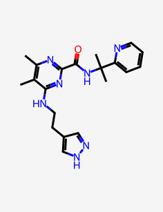 Cc1nc(C(=O)NC(C)(C)c2ccccn2)nc(NCCc2cn[nH]c2)c1C